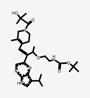 CC1=C(/C=C(/c2cnc3[nH]cc(C(C)C)c3n2)C(C)OCCNC(=O)OC(C)(C)C)CCN(C(=O)C(C)(C)O)C1